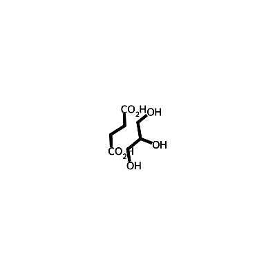 O=C(O)CCC(=O)O.OCC(O)CO